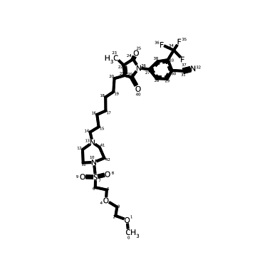 COCCOCCS(=O)(=O)N1CCN(CCCCCCCC2=C(C)C(=O)N(c3ccc(C#N)c(C(F)(F)F)c3)C2=O)CC1